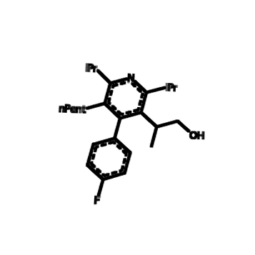 CCCCCc1c(C(C)C)nc(C(C)C)c(C(C)CO)c1-c1ccc(F)cc1